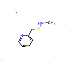 CNSCc1ccccn1